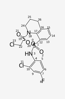 O=S(=O)(Nc1ccc(F)cc1Cl)c1cccc2c1N(S(=O)(=O)CCl)CCC2